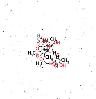 CO[C@H]1C[C@H](O[C@H]2[C@H](C)O[C@@H](O[C@@H]3/C(C)=C/C[C@@H]4C[C@@H](C[C@]5(C[C@H](O)[C@H](C)[C@@H](C(C)C)O5)O4)OC(=O)[C@@H]4C=C(C)[C@@H](O)[C@H]5OC/C(=C\C=C\[C@@H]3C)[C@]54O)C[C@@H]2OC)O[C@@H](C)[C@@H]1O